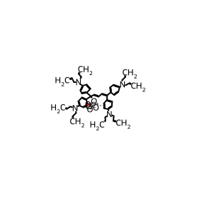 C=CCN(CC=C)c1ccc(C(=CC=CC(O[Cl+3]([O-])([O-])[O-])(c2ccc(N(CC=C)CC=C)cc2)c2ccc(N(CC=C)CC=C)cc2)c2ccc(N(CC=C)CC=C)cc2)cc1